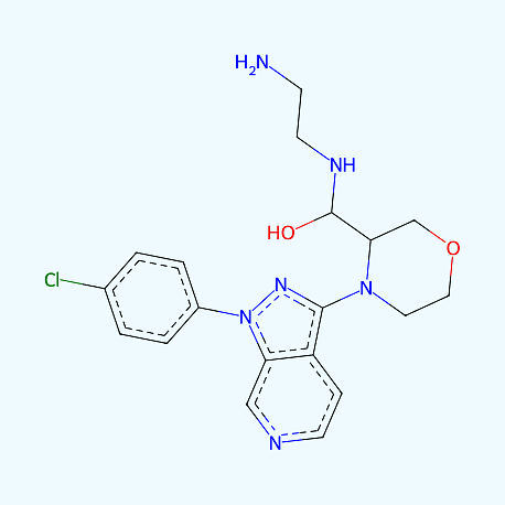 NCCNC(O)C1COCCN1c1nn(-c2ccc(Cl)cc2)c2cnccc12